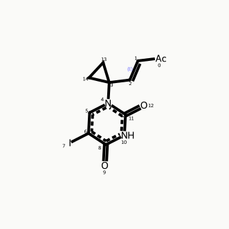 CC(=O)/C=C/C1(n2cc(I)c(=O)[nH]c2=O)CC1